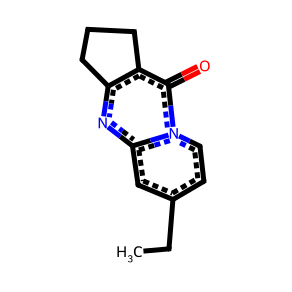 CCc1ccn2c(=O)c3c(nc2c1)CCC3